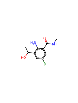 CNC(=O)c1cc(F)cc(C(C)O)c1N